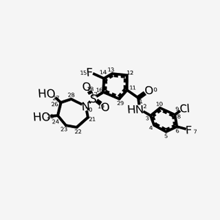 O=C(Nc1ccc(F)c(Cl)c1)c1ccc(F)c(S(=O)(=O)N2CCCC(O)C(O)C2)c1